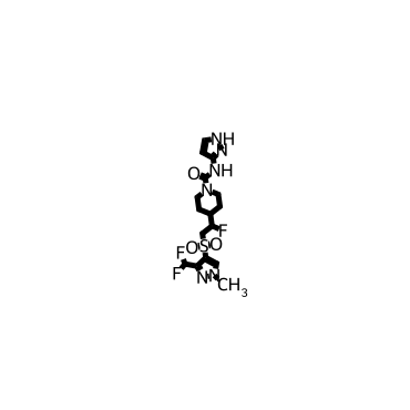 Cn1cc(S(=O)(=O)CC(F)C2CCN(C(=O)Nc3cc[nH]n3)CC2)c(C(F)F)n1